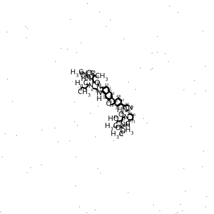 CCC[C@H](C)N(Cc1nc2ccc3cc4c(cc3c2[nH]1)OCc1cc(-c2cnc([C@@H]3CC[C@H](C)N3C(=O)[C@@H](NC(=O)OC)[C@@H](C)O)[nH]2)ccc1-4)C(=O)[C@@H](NC(=O)OC)C(C)C